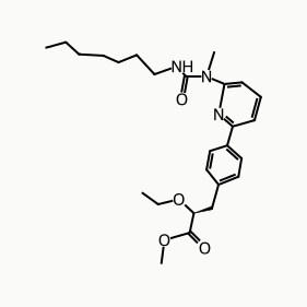 CCCCCCCNC(=O)N(C)c1cccc(-c2ccc(C[C@H](OCC)C(=O)OC)cc2)n1